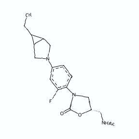 CC(=O)NC[C@H]1CN(c2ccc(N3CC4C(CC#N)C4C3)cc2F)C(=O)O1